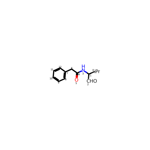 CC(C)C(C=O)NC(=O)Cc1ccccc1